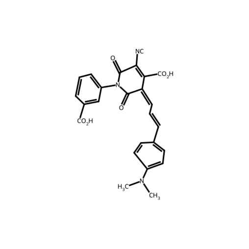 [C-]#[N+]C1=C(C(=O)O)C(=CC=Cc2ccc(N(C)C)cc2)C(=O)N(c2cccc(C(=O)O)c2)C1=O